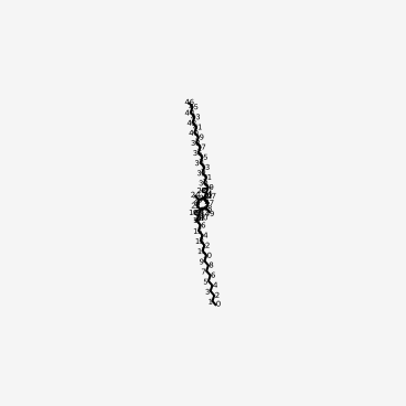 CCCCCCCCCCCCCCCCCC[Si](C)(C)c1cc(C)c([Si](C)(C)CCCCCCCCCCCCCCCCCC)cc1C